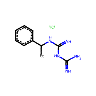 CCC(NC(=N)NC(=N)N)c1ccccc1.Cl